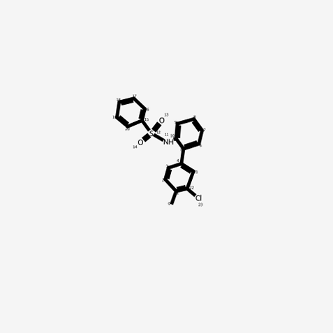 Cc1ccc(-c2ccccc2NS(=O)(=O)c2ccccc2)cc1Cl